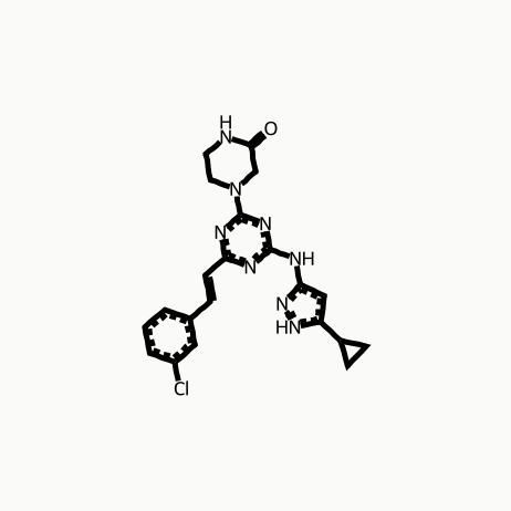 O=C1CN(c2nc(/C=C/c3cccc(Cl)c3)nc(Nc3cc(C4CC4)[nH]n3)n2)CCN1